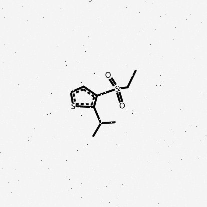 CCS(=O)(=O)c1ccsc1C(C)C